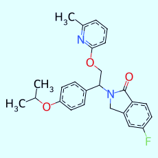 Cc1cccc(OCC(c2ccc(OC(C)C)cc2)N2Cc3cc(F)ccc3C2=O)n1